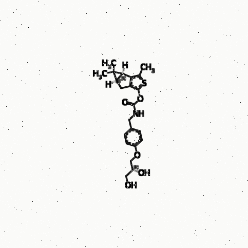 Cc1sc(OC(=O)NCc2ccc(OC[C@H](O)CO)cc2)c2c1[C@H]1[C@@H](C2)C1(C)C